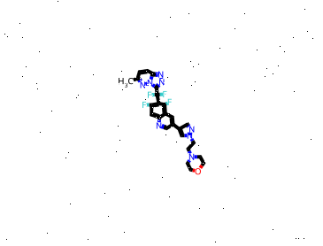 Cc1ccc2nnc(C(F)(F)c3c(F)cc4ncc(-c5cnn(CCN6CCOCC6)c5)cc4c3F)n2n1